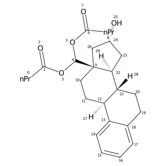 CCCC(=O)OC(OC(=O)CCC)[C@]12CC[C@@H]3c4ccccc4CC[C@H]3[C@@H]1C[C@@H](O)C2